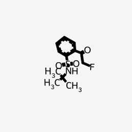 CC(C)(C)NS(=O)(=O)c1ccccc1C(=O)CF